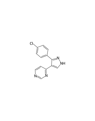 Clc1ccc(-c2n[nH]cc2-c2ccncn2)cc1